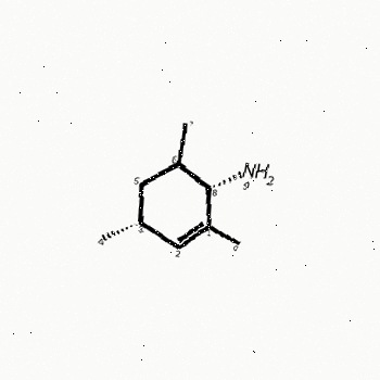 CC1=C[C@H](C)CC(C)[C@@H]1N